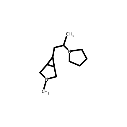 CC(CC1C2CN(C)CC12)N1CCCC1